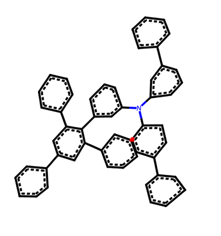 c1ccc(-c2ccc(N(c3cccc(-c4ccccc4)c3)c3cccc(-c4c(-c5ccccc5)cc(-c5ccccc5)cc4-c4ccccc4)c3)cc2)cc1